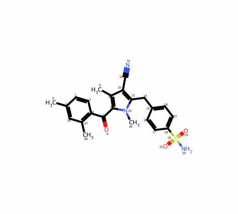 Cc1ccc(C(=O)c2c(C)c(C#N)c(Cc3ccc(S(N)(=O)=O)cc3)n2C)c(C)c1